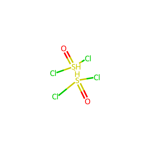 O=[SH](Cl)(Cl)[SH](=O)(Cl)Cl